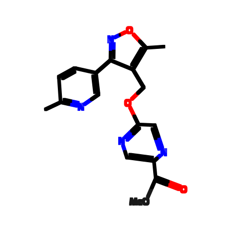 COC(=O)c1cnc(OCc2c(-c3ccc(C)nc3)noc2C)cn1